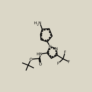 CC(C)(C)OC(=O)Nc1cc(C(F)(F)F)nn1-c1ccc(N)cc1